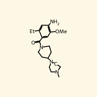 CCc1cc(N)c(OC)cc1C(=O)N1CCC(N2CCN(C)CC2)CC1